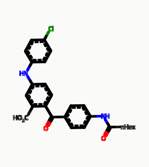 CCCCCCC(=O)Nc1ccc(C(=O)c2ccc(Nc3ccc(Cl)cc3)cc2C(=O)O)cc1